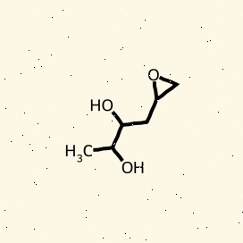 CC(O)C(O)CC1CO1